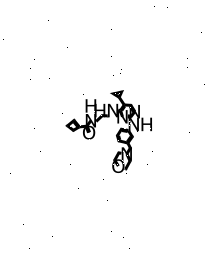 O=C(NCCCNc1nc(Nc2cccc(CN3CCOCC3)c2)ncc1C1CC1)C1=CCC1